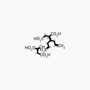 C=C(CC(=O)O)C(=O)O.C=CCC(CC=C)=C(CC(=O)O)C(=O)O